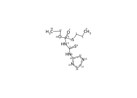 CCCSP(=O)(NC(=S)Nc1cnccn1)OCC